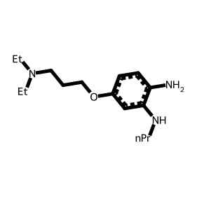 CCCNc1cc(OCCCN(CC)CC)ccc1N